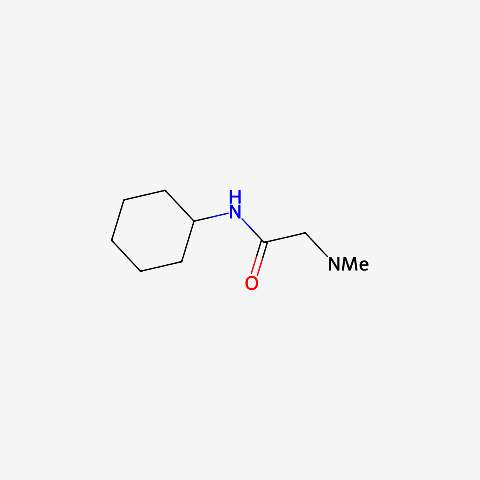 CNCC(=O)NC1CCCCC1